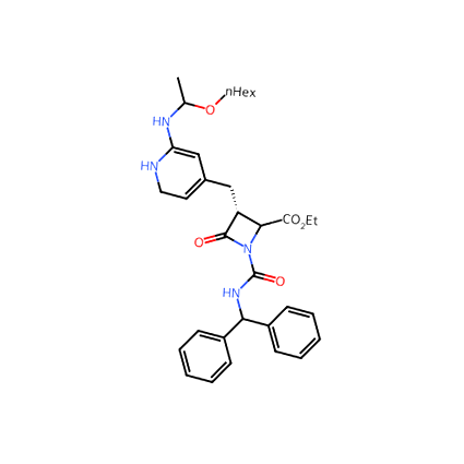 CCCCCCOC(C)NC1=CC(C[C@H]2C(=O)N(C(=O)NC(c3ccccc3)c3ccccc3)C2C(=O)OCC)=CCN1